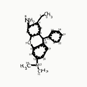 CCc1cc2c(cc1N)Oc1cc(N(C)C)ccc1C2c1ccccc1